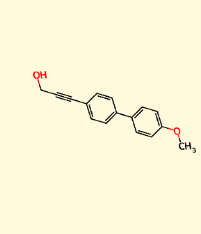 COc1ccc(-c2ccc(C#CCO)cc2)cc1